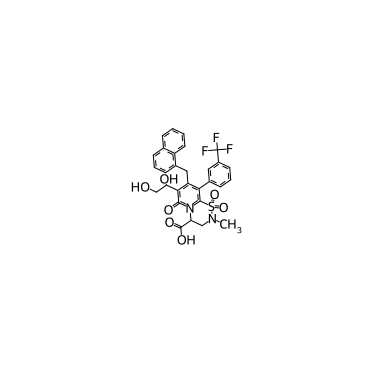 CN1CC(C(=O)O)n2c(c(-c3cccc(C(F)(F)F)c3)c(Cc3cccc4ccccc34)c(C(O)CO)c2=O)S1(=O)=O